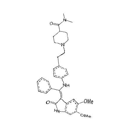 COc1cc2c(cc1OC)C(=C(Nc1ccc(CCN3CCC(C(=O)N(C)C)CC3)cc1)c1ccccc1)C(=O)N2